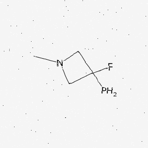 CN1CC(F)(P)C1